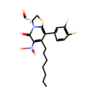 CCCCCCCc1c(-c2ccc(F)c(F)c2)c2n(c(=O)c1[N+](=O)[O-])[C@H](C=O)CS2